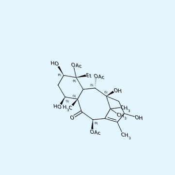 CC[C@@]1(OC(C)=O)C2[C@H](OC(C)=O)[C@]3(O)CC(O)C(C)=C([C@@H](OC(C)=O)C(=O)[C@]2(C)[C@@H](O)C[C@H]1O)C3(C)C